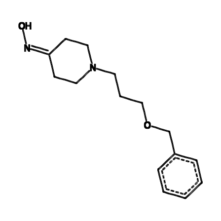 ON=C1CCN(CCCOCc2ccccc2)CC1